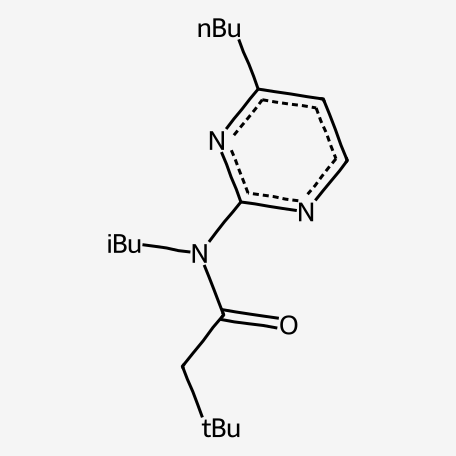 CCCCc1ccnc(N(C(=O)CC(C)(C)C)C(C)CC)n1